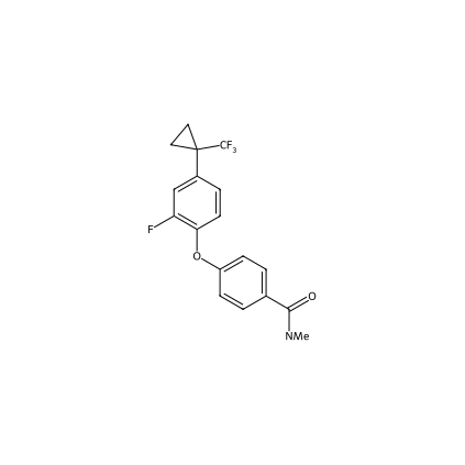 CNC(=O)c1ccc(Oc2ccc(C3(C(F)(F)F)CC3)cc2F)cc1